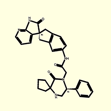 O=C(CN1C(=O)C2(CCCC2)NC[C@@H]1c1ccccc1)Nc1ccc2c(c1)C[C@@]1(C2)C(=O)Nc2ncccc21